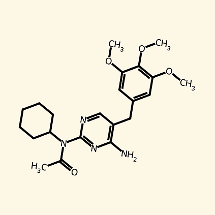 COc1cc(Cc2cnc(N(C(C)=O)C3CCCCC3)nc2N)cc(OC)c1OC